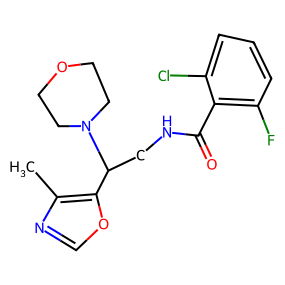 Cc1ncoc1C(CNC(=O)c1c(F)cccc1Cl)N1CCOCC1